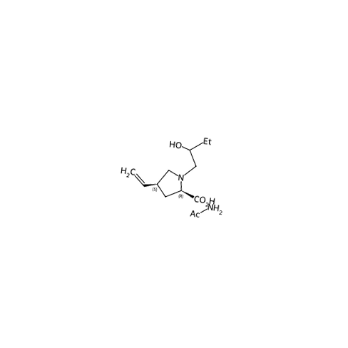 C=C[C@@H]1C[C@H](C(=O)O)N(CC(O)CC)C1.CC(N)=O